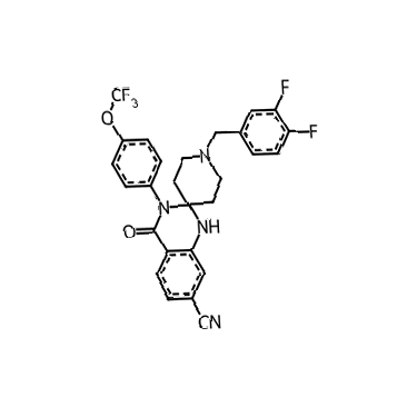 N#Cc1ccc2c(c1)NC1(CCN(Cc3ccc(F)c(F)c3)CC1)N(c1ccc(OC(F)(F)F)cc1)C2=O